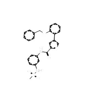 CS(=O)(=O)Nc1cccc(NC(=O)c2cc(-c3ccccc3OCc3ccccc3)cs2)c1